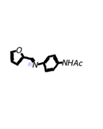 CC(=O)Nc1ccc(/N=C/c2ccco2)cc1